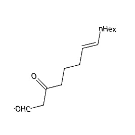 CCCCCCC=CCCCC(=O)C[C]=O